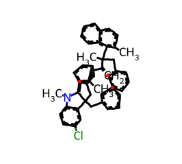 C=C(/C=C(C)/C=C1/N(C)c2ccc(Cl)cc2C1(Cc1ccccc1)Cc1ccccc1)C(C)(Cc1ccccc1)c1c(C)ccc2ccccc12